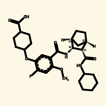 COc1cc(F)c(OC2CCC(C(=O)O)CC2)cc1C(=O)N[C@@H]1[C@H]2CC[C@H](C2)[C@@H]1C(=O)NC1CCCCC1